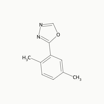 Cc1ccc(C)c(-c2nnco2)c1